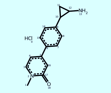 Cl.Cn1ccc(-c2ccc(C3CC3N)cc2)cc1=O